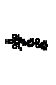 Cc1cc(/N=N/c2ccc(C(=O)Oc3cncnc3)nc2)cc(C)c1O